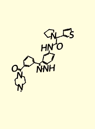 CN1CCN(C(=O)c2cccc(-c3n[nH]c4ccc(NC(=O)C(c5ccsc5)N5CCCC5)cc34)c2)CC1